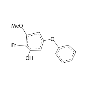 COc1cc(Oc2ccccc2)cc(O)c1C(C)C